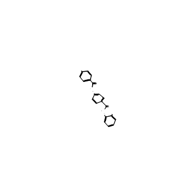 Cc1ccc(C(=O)Nc2ccc(C(=O)Nc3ccccc3C(=O)O)cc2)cc1